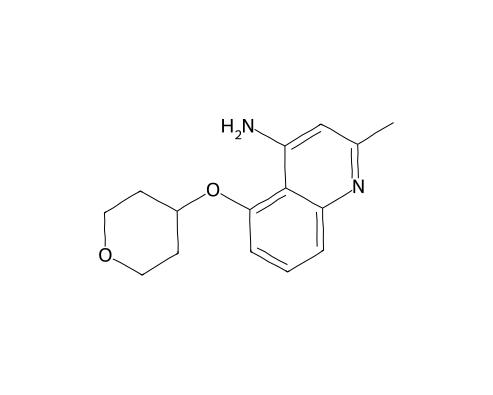 Cc1cc(N)c2c(OC3CCOCC3)cccc2n1